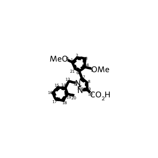 COc1ccc(OC)c(-c2cc(C(=O)O)nn2Cc2ccccc2C)c1